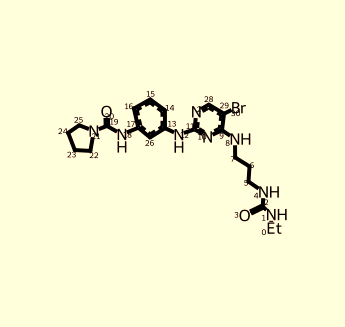 CCNC(=O)NCCCNc1nc(Nc2cccc(NC(=O)N3CCCC3)c2)ncc1Br